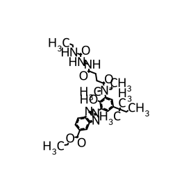 CCNC(=O)NNC(=O)CCC(=O)[N+](C)(CC)c1cc(C(C)(C)CC)cc(-n2nc3ccc(C(=O)OCC)cc3n2)c1O